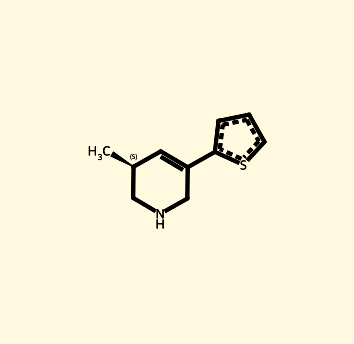 C[C@H]1C=C(c2cccs2)CNC1